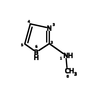 CNC1=NC=CB1